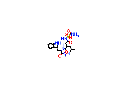 CNC(=O)C(Cc1c[nH]c2ccccc12)NC(=O)C(CC(=O)NS(=O)(=O)C(N)=O)CC(C)C